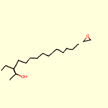 C1CO1.CCCCCCCCCCCC(CC)C(C)O